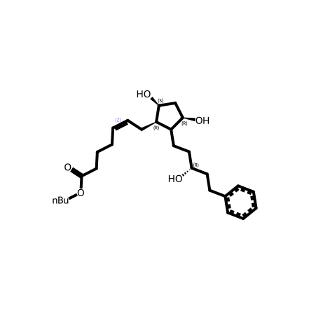 CCCCOC(=O)CCC/C=C\C[C@@H]1C(CC[C@@H](O)CCc2ccccc2)[C@H](O)C[C@@H]1O